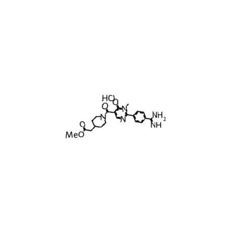 COC(=O)CC1CCN(C(=O)c2cnc(-c3ccc(C(=N)N)cc3)n(C)c2=O)CC1.Cl